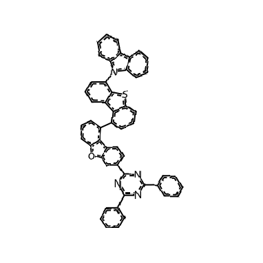 c1ccc(-c2nc(-c3ccccc3)nc(-c3ccc4c(c3)oc3cccc(-c5cccc6sc7c(-n8c9ccccc9c9ccccc98)cccc7c56)c34)n2)cc1